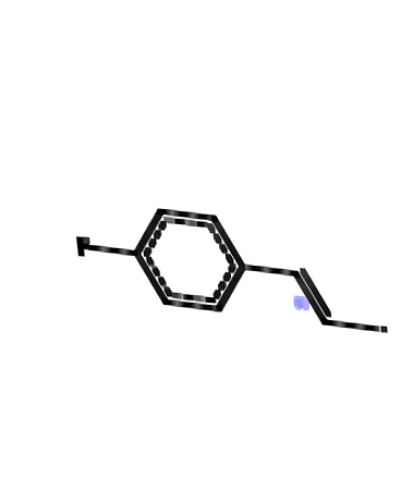 [CH2]/C=C/c1ccc(F)cc1